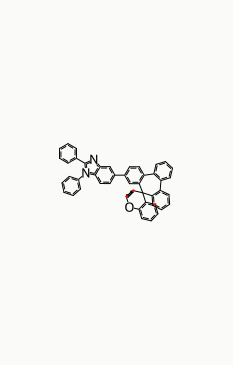 c1ccc(-c2nc3cc(-c4ccc5c(c4)C4(c6ccccc6Oc6ccccc64)c4ccccc4-c4ccccc4-5)ccc3n2-c2ccccc2)cc1